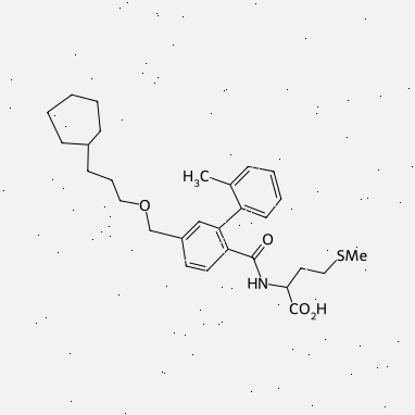 CSCCC(NC(=O)c1ccc(COCCCC2CCCCC2)cc1-c1ccccc1C)C(=O)O